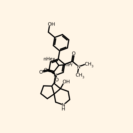 CCCCCCC(CCC)C(=O)OC1CCCC12CNCCC2(O)Cn1cc(C(=O)N(C)C)c(-c2cccc(CO)c2)cc1=O